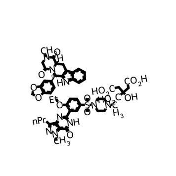 CCCc1nn(C)c2c(=O)[nH]c(-c3cc(S(=O)(=O)N4CCN(C)CC4)ccc3OCC)nc12.CN1CC(=O)N2[C@H](c3ccc4c(c3)OCO4)c3[nH]c4ccccc4c3C[C@@H]2C1=O.O=C(O)CC(O)(CC(=O)O)C(=O)O